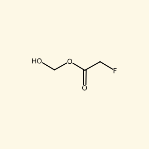 O=C(CF)OCO